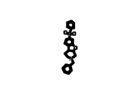 O=S(=O)(c1ccccc1)c1ccc2c(c1)OC1CN(Cc3ccccc3)CCC21